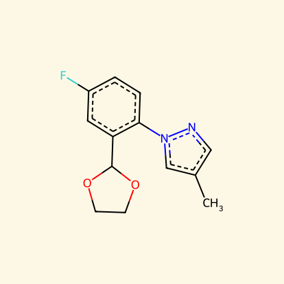 Cc1cnn(-c2ccc(F)cc2C2OCCO2)c1